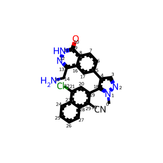 Cn1ncc(-c2ccc3c(=O)[nH]nc(CN)c3c2)c1-c1cc(Cl)c2ccccc2c1C#N